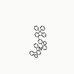 c1ccc(C2(c3ccccc3)c3ccccc3-c3c(-c4ccc5c(c4)oc4cccc(-n6c7ccccc7c7c8c(ccc76)oc6ccccc68)c45)cccc32)cc1